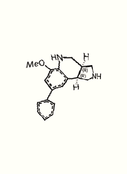 COc1cc(-c2ccccc2)cc2c1NC[C@H]1CNC[C@@H]21